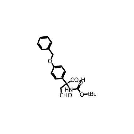 CC(C)(C)OC(=O)N[C@@](CC=O)(C(=O)O)c1ccc(OCc2ccccc2)cc1